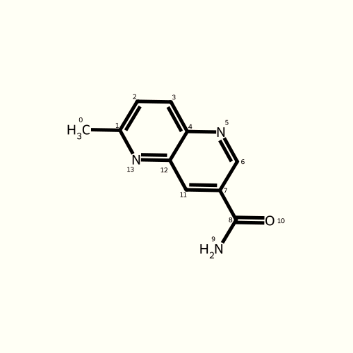 Cc1ccc2ncc(C(N)=O)cc2n1